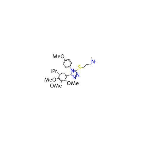 COc1ccc(-n2c(SCCCN(C)C)nnc2-c2cc(C(C)C)c(OC)c(OC)c2OC)cc1